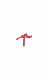 C=CCOOCC(=C)OOCC(O)COC(=O)C(C)(C)CC(CC(C)(CC)C(=O)OCCCCCCCCCCCC)C(=O)OCCCCCCCCCCCCCCCCCC